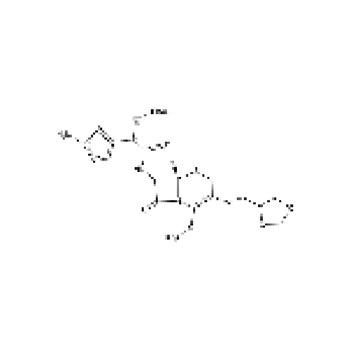 CO/N=C(\C(=O)NC1C(=O)N2C(OC(=O)O)=C(SCC3COCO3)CS[C@@H]12)c1csc(N)n1